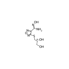 NC(=NO)c1nonc1SC[C@H](O)CO